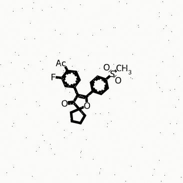 CC(=O)c1ccc(C2=C(c3ccc(S(C)(=O)=O)cc3)OC3(CCCC3)C2=O)cc1F